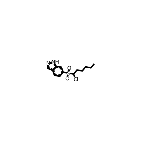 CCCCCC(Cl)S(=O)(=O)c1ccc2cn[nH]c2c1